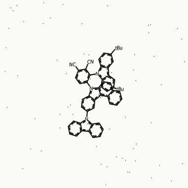 CC(C)(C)c1ccc2c(c1)c1cc(C(C)(C)C)ccc1n2-c1c(-n2c3ccc(-n4c5ccccc5c5ccccc54)cc3c3c4ccccc4ccc32)ccc(C#N)c1C#N